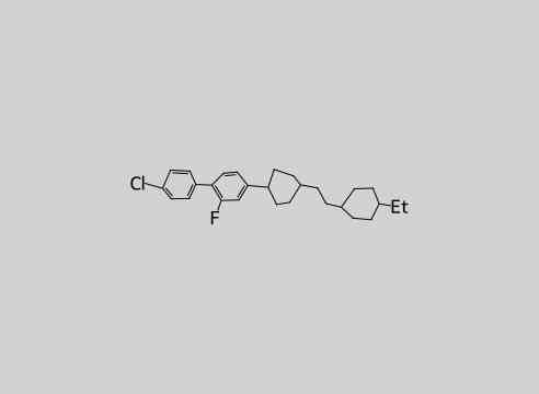 CCC1CCC(CCC2CCC(c3ccc(-c4ccc(Cl)cc4)c(F)c3)CC2)CC1